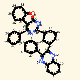 c1ccc(-c2nc3ccccc3nc2-c2cccc(-c3nc(-c4ccccc4)c4c(n3)oc3ccccc34)c2)cc1